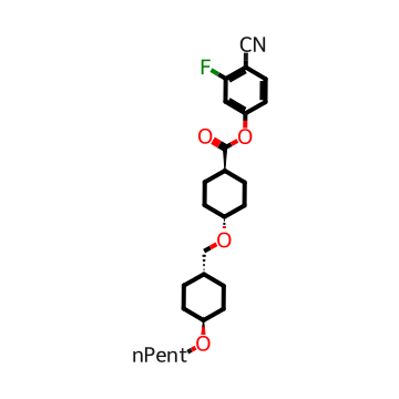 CCCCCO[C@H]1CC[C@H](CO[C@H]2CC[C@H](C(=O)Oc3ccc(C#N)c(F)c3)CC2)CC1